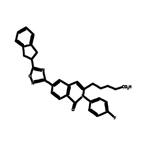 O=C(O)CCCCc1cc2cc(-c3noc(C4Cc5ccccc5C4)n3)ccc2c(=O)n1-c1ccc(F)cc1